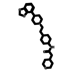 O=C(CC1CCOCC1)NC1CCC(CCN2CCC(c3cccc4c3OCO4)CC2)CC1